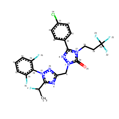 CC(F)c1nc(Cn2nc(-c3ccc(Cl)cc3)n(CCC(F)(F)F)c2=O)nn1-c1c(F)cccc1F